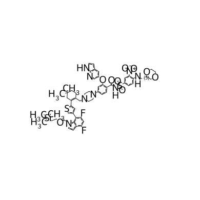 CC1(C)CCC(CN2CCN(c3ccc(C(=O)NS(=O)(=O)c4ccc(NC[C@H]5COCCO5)c([N+](=O)[O-])c4)c(Oc4cnc5[nH]ccc5c4)c3)CC2)=C(c2cc(-c3c(F)cc(F)c4ccn(COCC[Si](C)(C)C)c34)cs2)C1